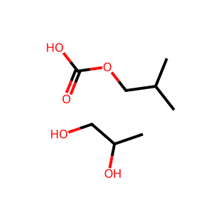 CC(C)COC(=O)O.CC(O)CO